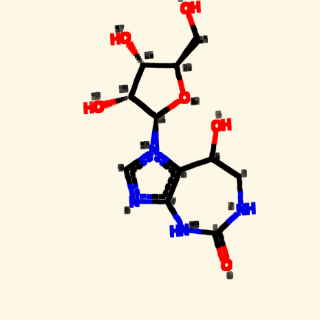 O=C1NCC(O)c2c(ncn2[C@@H]2O[C@H](CO)[C@@H](O)[C@H]2O)N1